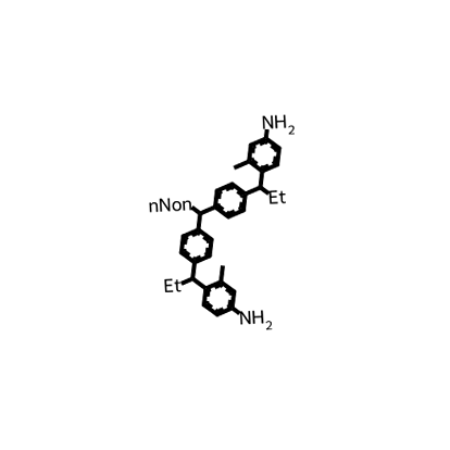 CCCCCCCCCC(c1ccc(C(CC)c2ccc(N)cc2C)cc1)c1ccc(C(CC)c2ccc(N)cc2C)cc1